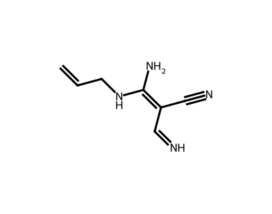 C=CCN/C(N)=C(/C#N)C=N